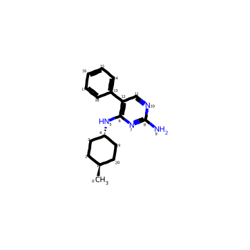 C[C@H]1CC[C@H](Nc2nc(N)ncc2-c2ccccc2)CC1